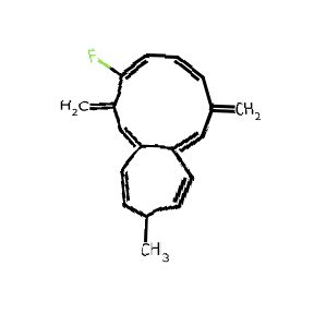 C=c1cccc(F)c(=C)cc2c(c1)C=CC(C)C=C2